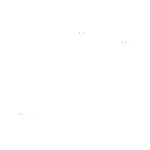 COCOCCC=CC(OC)OC